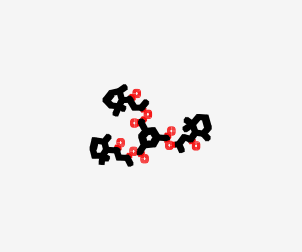 CC(CC(=O)C1C(C)C=CCC1(C)C)OC(=O)c1cc(C(=O)OC(C)CC(=O)C2C(C)C=CCC2(C)C)cc(C(=O)OC(C)CC(=O)C2C(C)C=CCC2(C)C)c1